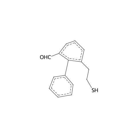 O=Cc1cccc(CCS)c1-c1ccccc1